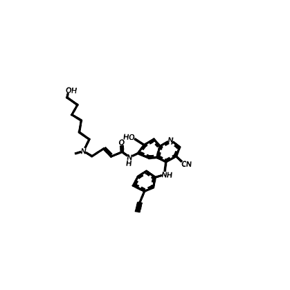 C#Cc1cccc(Nc2c(C#N)cnc3cc(O)c(NC(=O)/C=C/CN(C)CCCCCCO)cc23)c1